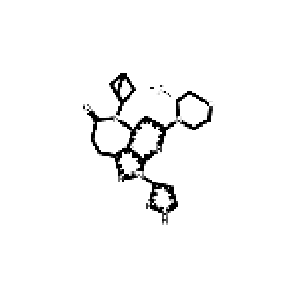 C[C@@H]1COCCN1c1cc2c3c(nn(-c4cc[nH]n4)c3n1)CCC(=O)N2C12CC(C1)C2